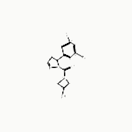 O=C(N1CC(O)C1)N1N=CCC1c1cc(F)cc(F)c1